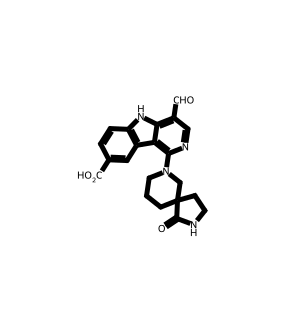 O=Cc1cnc(N2CCCC3(CCNC3=O)C2)c2c1[nH]c1ccc(C(=O)O)cc12